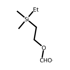 CC[Si](C)(C)CCO[C]=O